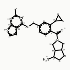 Cc1nc(OCc2ccc(C(=O)N3CC4CCC(N)C4C3)c(C3CC3)c2)c2ccsc2n1